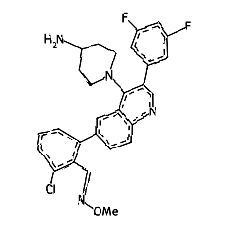 CON=Cc1c(Cl)cccc1-c1ccc2ncc(-c3cc(F)cc(F)c3)c(N3CCC(N)CC3)c2c1